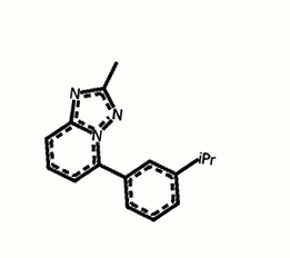 Cc1nc2cccc(-c3cccc(C(C)C)c3)n2n1